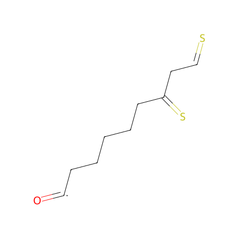 O=[C]CCCCCC(=S)CC=S